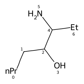 [CH2]CCCC(O)C(N)CC